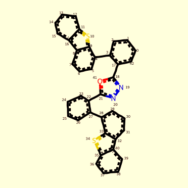 c1ccc(-c2cccc3c2sc2ccccc23)c(-c2nnc(-c3ccccc3-c3cccc4c3sc3ccccc34)o2)c1